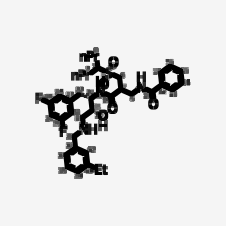 CCCC(CCC)S(=O)(=O)CC(CNC(=O)c1ccccc1)C(=O)N[C@@H](Cc1cc(F)cc(F)c1)[C@H](O)CNCc1cccc(CC)c1